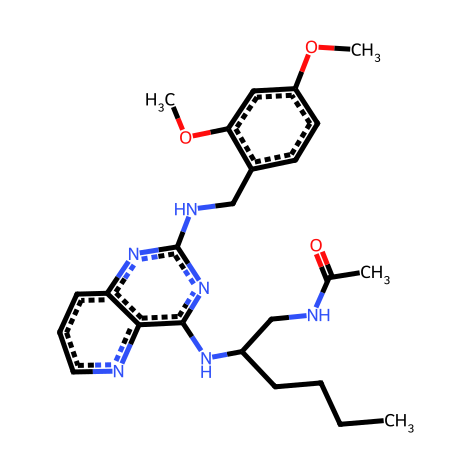 CCCCC(CNC(C)=O)Nc1nc(NCc2ccc(OC)cc2OC)nc2cccnc12